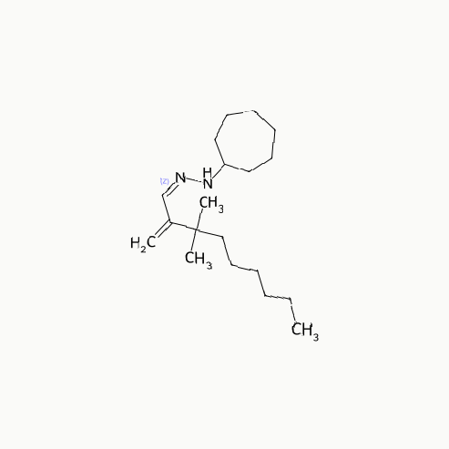 C=C(/C=N\NC1CCCCCC1)C(C)(C)CCCCCC